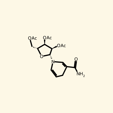 CC(=O)OC[C@H]1O[C@@H](N2C=CCC(C(N)=O)=C2)[C@H](OC(C)=O)[C@@H]1OC(C)=O